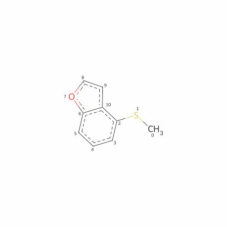 CSc1cccc2o[c]cc12